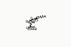 COC(=O)CNC(=O)C(CC(C)(C)C)NC(=O)CCC(N)C(=O)OC